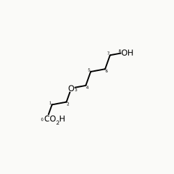 O=C(O)CCOCCCCO